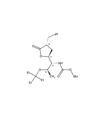 CC[Si](CC)(CC)O[C@H](C)[C@@H](NC(=O)OC(C)(C)C)[C@@H]1C[C@@H](CC(C)C)C(=O)O1